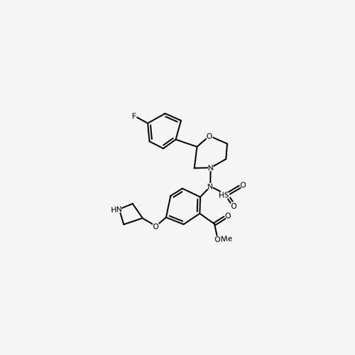 COC(=O)c1cc(OC2CNC2)ccc1N(N1CCOC(c2ccc(F)cc2)C1)[SH](=O)=O